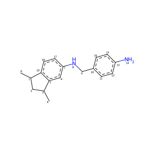 CC1CC(C)c2cc(NCc3ccc(N)cc3)ccc21